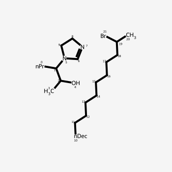 CCCC(C(C)O)N1C=NCC1.CCCCCCCCCCCCCCCCCCC(C)Br